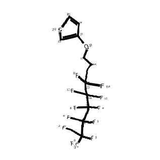 FC(F)(F)C(F)(F)C(F)(F)C(F)(F)C(F)(F)C(F)(F)CCOc1ccsc1